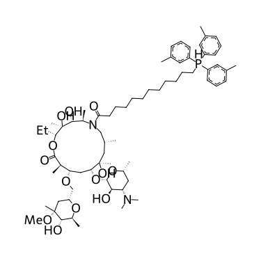 CC[C@H]1OC(=O)[C@H](C)[C@@H](OC[C@H]2C[C@@](C)(OC)[C@@H](O)[C@H](C)O2)C[C@@H](O[C@@H]2O[C@H](C)C[C@H](N(C)C)[C@H]2O)[C@](C)(O)C[C@@H](C)CN(C(=O)CCCCCCCCCCC[PH](c2cccc(C)c2)(c2cccc(C)c2)c2cccc(C)c2)[C@H](C)[C@@H](O)[C@]1(C)O